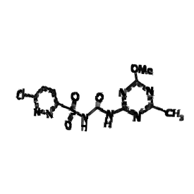 COc1nc(C)nc(NC(=O)NS(=O)(=O)c2ccc(Cl)nn2)n1